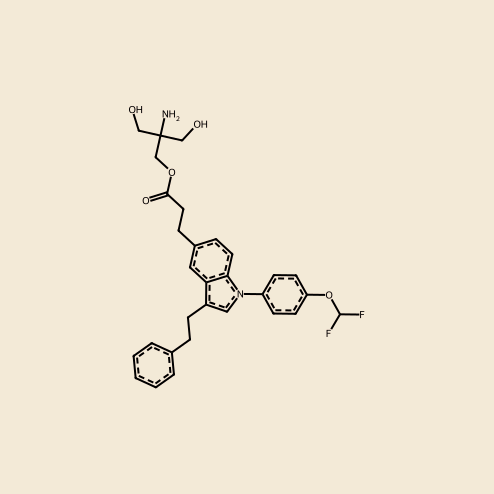 NC(CO)(CO)COC(=O)CCc1ccc2c(c1)c(CCc1ccccc1)cn2-c1ccc(OC(F)F)cc1